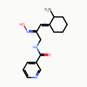 O=C(NCC(/C=C1\CCCCC1[N+](=O)[O-])=N/O)c1cccnc1